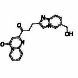 O=C(CCc1cn2cc(CO)ccc2n1)c1cc(=O)n2ccccc2n1